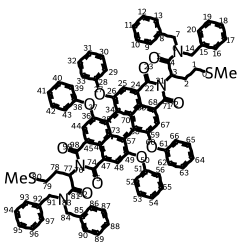 CSCCC(C(=O)N(Cc1ccccc1)Cc1ccccc1)N1C(=O)c2cc(Oc3ccccc3)c3c4c(Oc5ccccc5)cc5c6c(cc(Oc7ccccc7)c(c7c(Oc8ccccc8)cc(c2c37)C1=O)c64)C(=O)N(C(CCSC)C(=O)N(Cc1ccccc1)Cc1ccccc1)C5=O